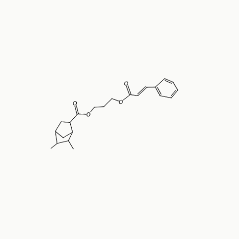 CC1C2CC(C(=O)OCCCOC(=O)/C=C/c3ccccc3)C(C2)C1C